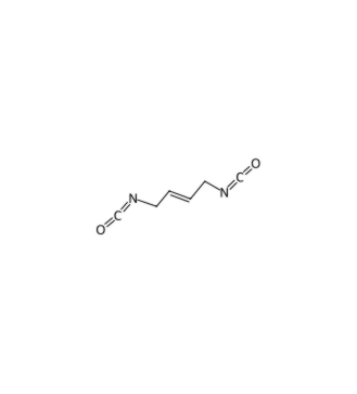 O=C=NCC=CCN=C=O